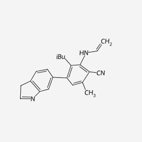 C=CNc1c(C#N)c(C)cc(-c2ccc3c(c2)N=CC3)c1C(C)CC